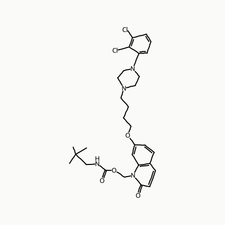 CC(C)(C)CNC(=O)OCn1c(=O)ccc2ccc(OCCCCN3CCN(c4cccc(Cl)c4Cl)CC3)cc21